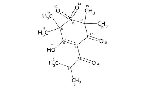 CC(C)C(=O)C1=C(O)C(C)(C)S(=O)(=O)C(C)(C)C1=O